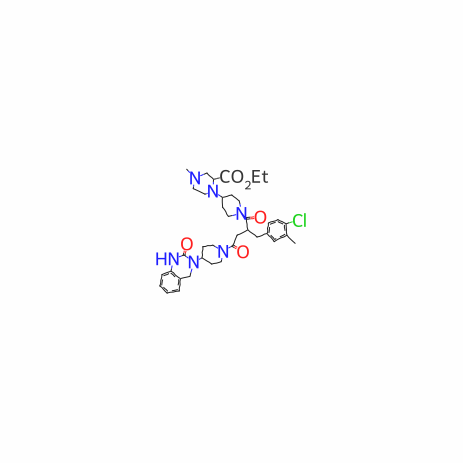 CCOC(=O)C1CN(C)CCN1C1CCN(C(=O)C(CC(=O)N2CCC(N3Cc4ccccc4NC3=O)CC2)Cc2ccc(Cl)c(C)c2)CC1